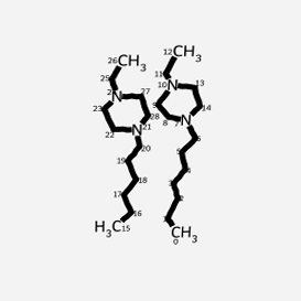 CCCCCCCN1CCN(CC)CC1.CCCCCCN1CCN(CC)CC1